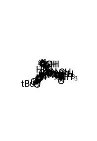 CC(C)(C)OC(=O)N1C2CCC1CC1(COC(c3cnc(Nc4ccc5c(n4)C(C)(C)NC5=O)cc3N[C@H](CO)c3ccccc3)=N1)C2